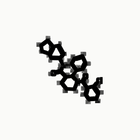 O=C(Nc1ccc2c(c1)CCC2)C1CCCN(C(=O)c2ccccc2Cl)C1[C@@H]1C=CC=CC1